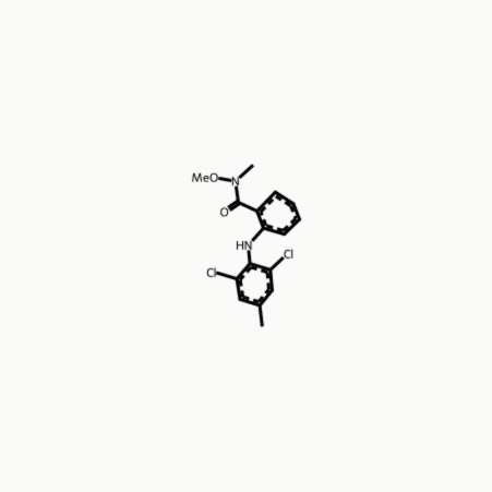 CON(C)C(=O)c1ccccc1Nc1c(Cl)cc(C)cc1Cl